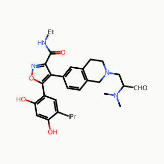 CCNC(=O)c1noc(-c2cc(C(C)C)c(O)cc2O)c1-c1ccc2c(c1)CCN(CC(C=O)N(C)C)C2